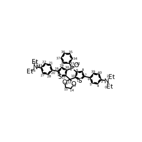 CCN(CC)c1ccc(-c2cc3c(s2)C2(OCCO2)c2sc(-c4ccc(N(CC)CC)cc4)cc2P3(=O)c2ccccc2)cc1